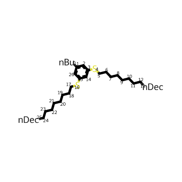 [CH2]CCCc1cc(SCCCCCCCCCCCCCCCCCC)cc(SCCCCCCCCCCCCCCCCCC)c1